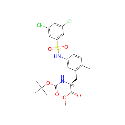 COC(=O)[C@H](Cc1cc(NS(=O)(=O)c2cc(Cl)cc(Cl)c2)ccc1C)NC(=O)OC(C)(C)C